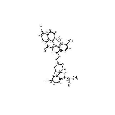 CN(CC(CCN1CCC2(CC1)CN([S+](C)[O-])c1ccc(F)cc12)c1ccc(Cl)c(Cl)c1)C(=O)c1ccc(F)c2ccccc12